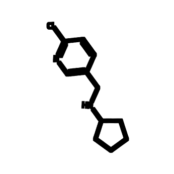 Clc1ccc(CNC2CCCC2)cn1